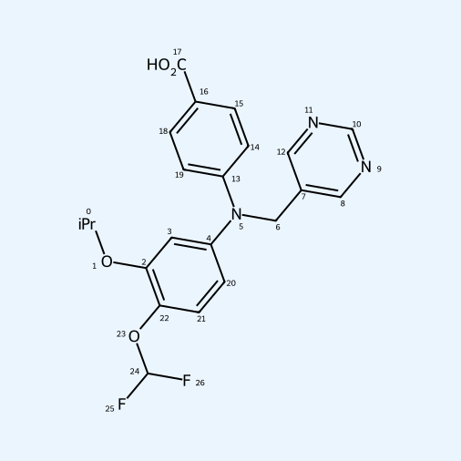 CC(C)Oc1cc(N(Cc2cncnc2)c2ccc(C(=O)O)cc2)ccc1OC(F)F